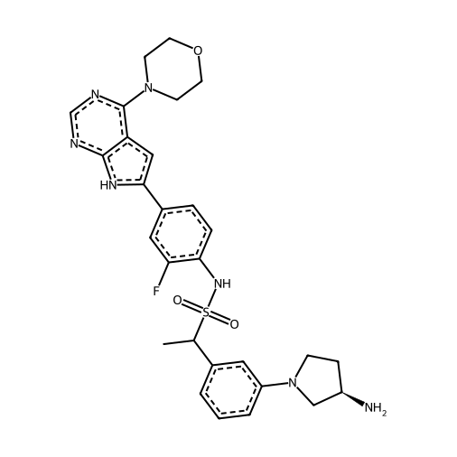 CC(c1cccc(N2CC[C@@H](N)C2)c1)S(=O)(=O)Nc1ccc(-c2cc3c(N4CCOCC4)ncnc3[nH]2)cc1F